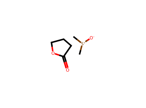 C[S+](C)[O-].O=C1CCCO1